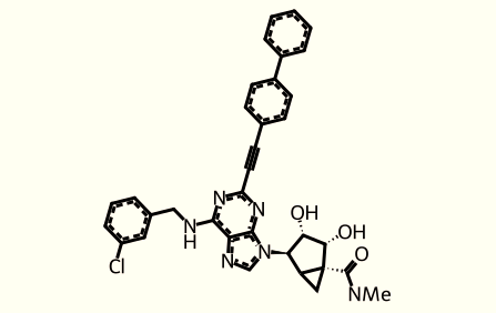 CNC(=O)[C@]12CC1[C@@H](n1cnc3c(NCc4cccc(Cl)c4)nc(C#Cc4ccc(-c5ccccc5)cc4)nc31)[C@H](O)[C@@H]2O